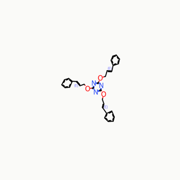 C(=C\c1ccccc1)/COc1nc(OC/C=C/c2ccccc2)nc(OC/C=C/c2ccccc2)n1